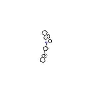 O=c1oc2ccccc2cc1/C=C/c1ccc(-c2cc3ccccc3o2)cc1